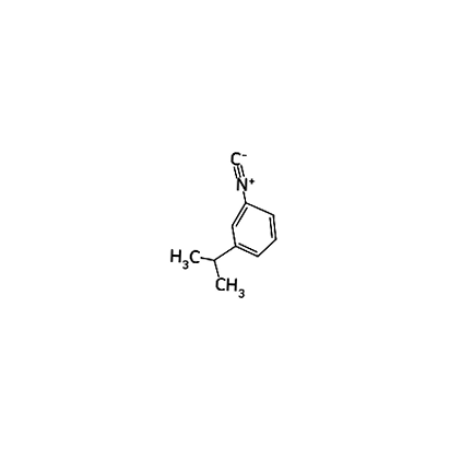 [C-]#[N+]c1cccc(C(C)C)c1